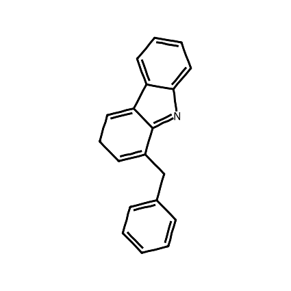 C1=C(Cc2ccccc2)C2=Nc3ccccc3C2=CC1